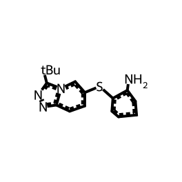 CC(C)(C)c1nnc2ccc(Sc3ccccc3N)cn12